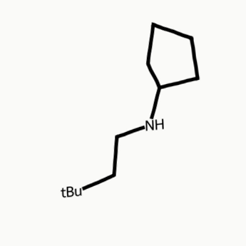 CC(C)(C)CCNC1CCCC1